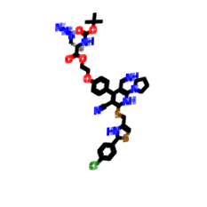 CC(C)(C)OC(=O)N[C@@H](CN=[N+]=[N-])C(=O)OCCOc1ccc(C2=C(C#N)C(SCC3=CSC(c4ccc(Cl)cc4)N3)NC(N3CCCC3)=C2C=N)cc1